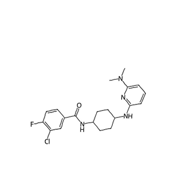 CN(C)c1cccc(NC2CCC(NC(=O)c3ccc(F)c(Cl)c3)CC2)n1